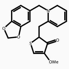 COC1=CSC(CC2=CC=CCN2Cc2ccc3c(c2)OCO3)C1=O